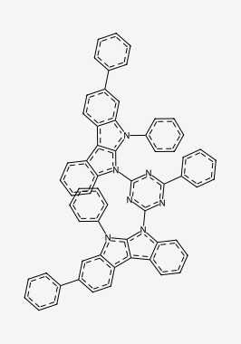 c1ccc(-c2ccc3c4c5ccccc5n(-c5nc(-c6ccccc6)nc(-n6c7ccccc7c7c8ccc(-c9ccccc9)cc8n(-c8ccccc8)c76)n5)c4n(-c4ccccc4)c3c2)cc1